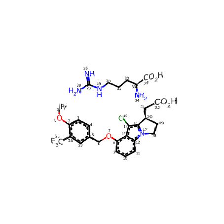 CC(C)Oc1ccc(COc2cccc3c2c(Cl)c2n3CC[C@@H]2CC(=O)O)cc1C(F)(F)F.N=C(N)NCCC[C@H](N)C(=O)O